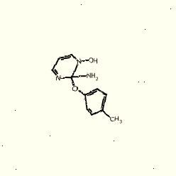 Cc1ccc(OC2(N)N=CC=CN2O)cc1